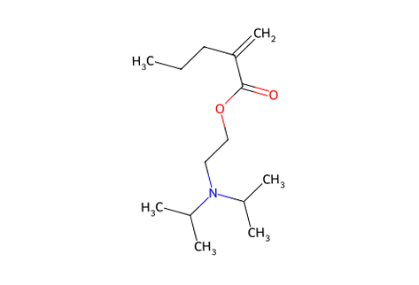 C=C(CCC)C(=O)OCCN(C(C)C)C(C)C